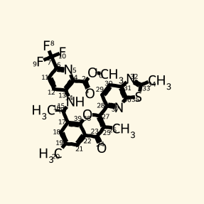 COC(=O)c1nc(C(F)(F)F)ccc1N[C@H](C)c1cc(C)cc2c(=O)c(C)c(-c3ccc4nc(C)sc4n3)oc12